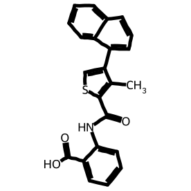 Cc1c(-c2cccc3ccccc23)csc1C(=O)Nc1ccccc1C(=O)O